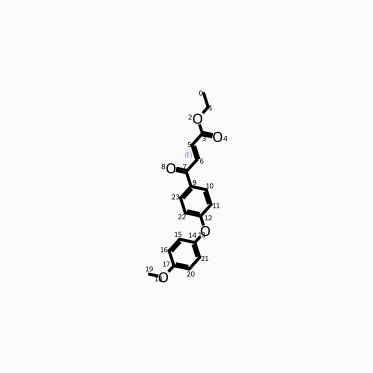 CCOC(=O)/C=C/C(=O)c1ccc(Oc2ccc(OC)cc2)cc1